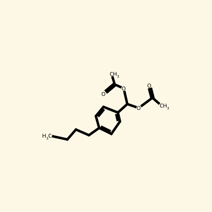 CCCCc1ccc(C(OC(C)=O)OC(C)=O)cc1